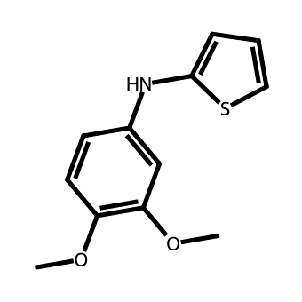 COc1ccc(Nc2cccs2)cc1OC